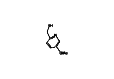 COc1ccc(CS)nc1